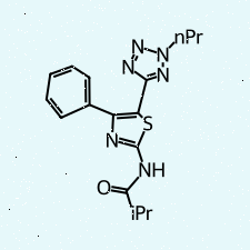 CCCn1nnc(-c2sc(NC(=O)C(C)C)nc2-c2ccccc2)n1